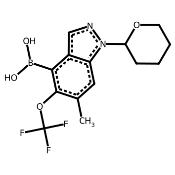 Cc1cc2c(cnn2C2CCCCO2)c(B(O)O)c1OC(F)(F)F